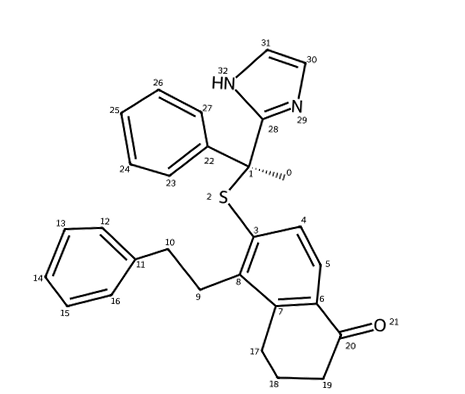 C[C@](Sc1ccc2c(c1CCc1ccccc1)CCCC2=O)(c1ccccc1)c1ncc[nH]1